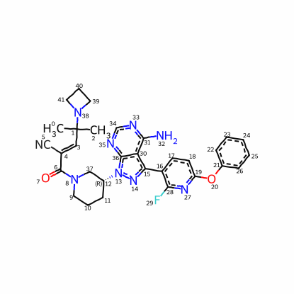 CC(C)(C=C(C#N)C(=O)N1CCC[C@@H](n2nc(-c3ccc(Oc4ccccc4)nc3F)c3c(N)ncnc32)C1)N1CCC1